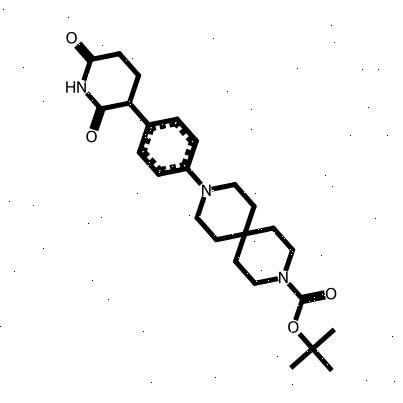 CC(C)(C)OC(=O)N1CCC2(CC1)CCN(c1ccc(C3CCC(=O)NC3=O)cc1)CC2